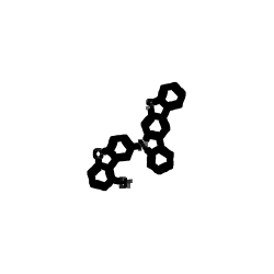 Brc1cccc2oc3ccc(-n4c5ccccc5c5cc6c(cc54)sc4ccccc46)cc3c12